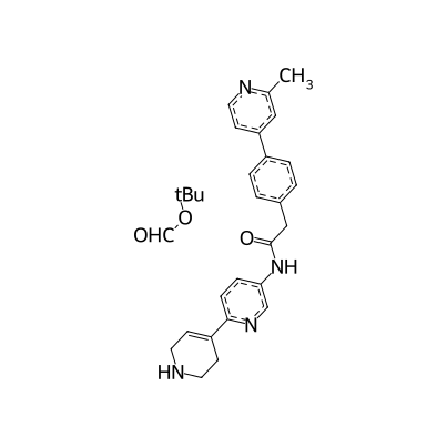 CC(C)(C)OC=O.Cc1cc(-c2ccc(CC(=O)Nc3ccc(C4=CCNCC4)nc3)cc2)ccn1